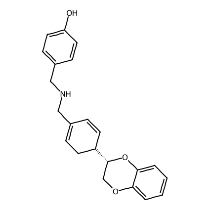 Oc1ccc(CNCC2=CCC([C@H]3COc4ccccc4O3)C=C2)cc1